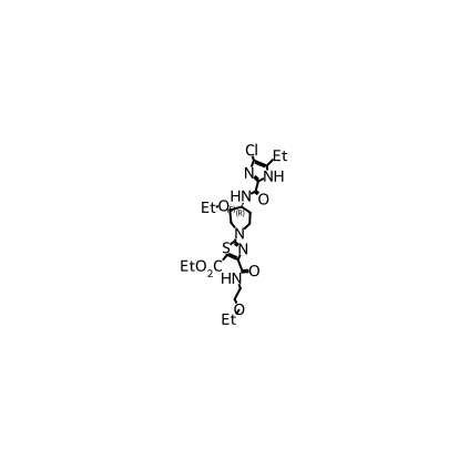 CCOCCNC(=O)c1nc(N2CC[C@@H](NC(=O)c3nc(Cl)c(CC)[nH]3)[C@@H](OCC)C2)sc1C(=O)OCC